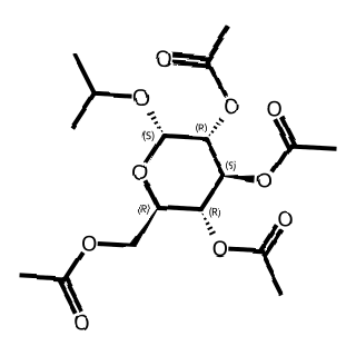 CC(=O)OC[C@H]1O[C@H](OC(C)C)[C@H](OC(C)=O)[C@@H](OC(C)=O)[C@@H]1OC(C)=O